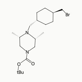 C[C@@H]1CN(C(=O)OC(C)(C)C)C[C@H](C)N1C[C@H]1CC[C@H](CBr)CC1